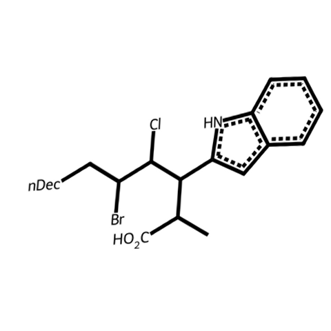 CCCCCCCCCCCC(Br)C(Cl)C(c1cc2ccccc2[nH]1)C(C)C(=O)O